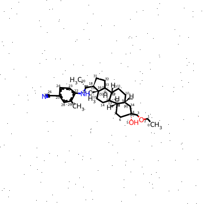 CCOC[C@@]1(O)CC[C@H]2[C@H](CC[C@@H]3[C@@H]2CC[C@]2(C)[C@@H]([C@@H](C)Nc4ccc(C#N)cc4C)CC[C@@H]32)C1